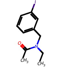 CCN(Cc1cccc(I)c1)C(C)=O